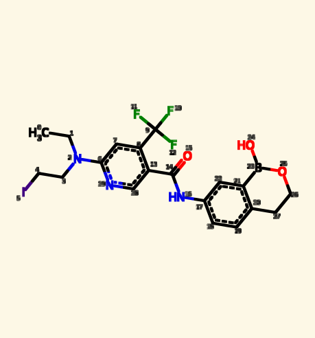 CCN(CCI)c1cc(C(F)(F)F)c(C(=O)Nc2ccc3c(c2)B(O)OCC3)cn1